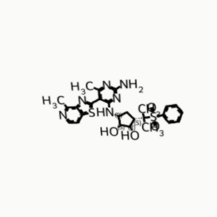 Cc1nc(N)nc(N[C@@H]2C[C@H](C(C)(C)S(=O)(=O)c3ccccc3)[C@@H](O)[C@H]2O)c1-c1nc2c(C)nccc2s1